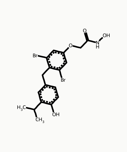 CC(C)c1cc(Cc2c(Br)cc(OCC(=O)NO)cc2Br)ccc1O